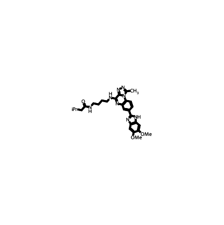 COc1cc2nc(-c3ccc4c(c3)nc(NCCCCNC(=O)CC(C)C)c3nnc(C)n34)[nH]c2cc1OC